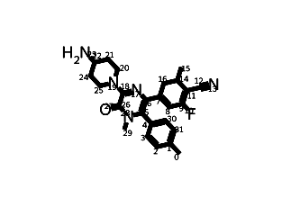 Cc1ccc(-c2c(C3=CC(F)=C(C#N)C(C)C3)nc(N3CCC(N)CC3)c(=O)n2C)cc1